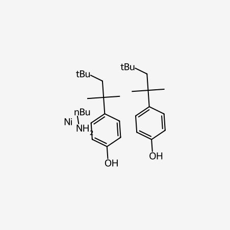 CC(C)(C)CC(C)(C)c1ccc(O)cc1.CC(C)(C)CC(C)(C)c1ccc(O)cc1.CCCCN.[Ni]